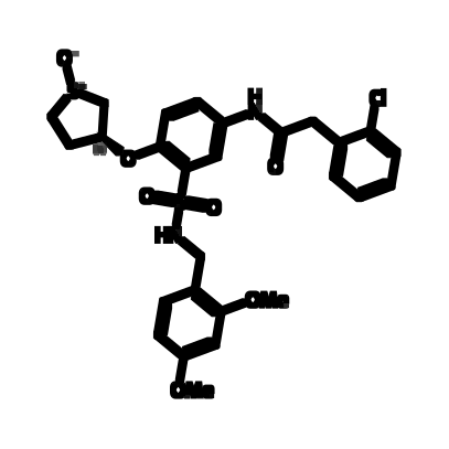 COc1ccc(CNS(=O)(=O)c2cc(NC(=O)Cc3ccccc3Cl)ccc2O[C@H]2CC[S+]([O-])C2)c(OC)c1